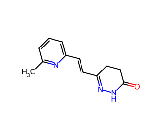 Cc1cccc(C=CC2=NNC(=O)CC2)n1